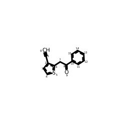 C#Cc1ccsc1CC(=O)c1ccccc1